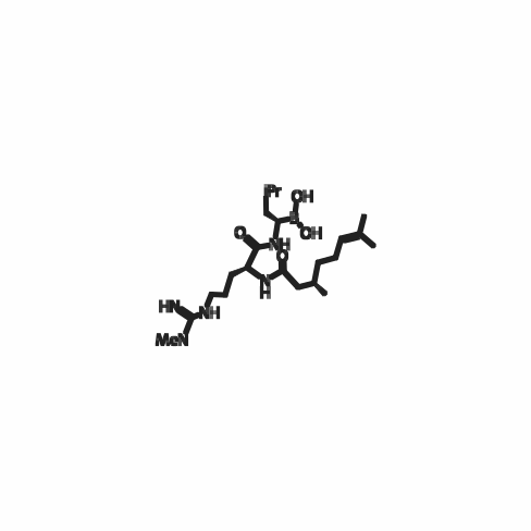 CNC(=N)NCCC[C@H](NC(=O)C[C@H](C)CCC=C(C)C)C(=O)N[C@@H](CC(C)C)B(O)O